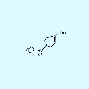 CC(C)(C)C1=CCC(NC2COC2)CC1